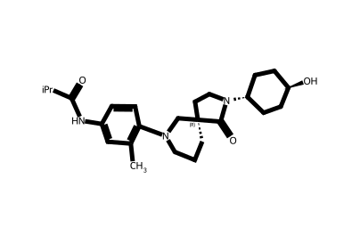 Cc1cc(NC(=O)C(C)C)ccc1N1CCC[C@@]2(CCN([C@H]3CC[C@H](O)CC3)C2=O)C1